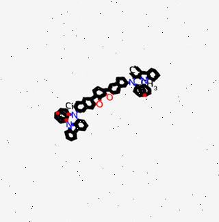 Cc1ccccc1N(c1ccc2cc3c(cc2c1)oc1c3ccc2c3cc4ccc(N(c5ccccc5C)c5cccc6c7ccccc7n(-c7ccccc7)c56)cc4cc3oc21)c1cccc2c3ccccc3n(-c3ccccc3)c12